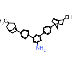 CC1CC2=C(c3ccc(-c4cc(N)cc(-c5ccc(C67CC=C8C(C)CC86C7)cc5)c4)cc3)CC(C2)C1